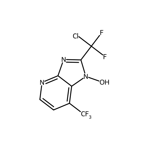 On1c(C(F)(F)Cl)nc2nccc(C(F)(F)F)c21